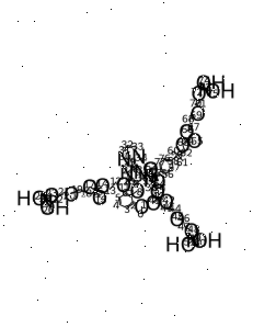 COc1ccccc1Oc1c(OCCOC(=O)OCCOCCON(O)O)nc(-c2ncccn2)nc1N(COC(=O)OCCOCCON(O)O)S(=O)(=O)c1ccc(C(C)(C)COC(=O)OCCOCCON(O)O)cc1